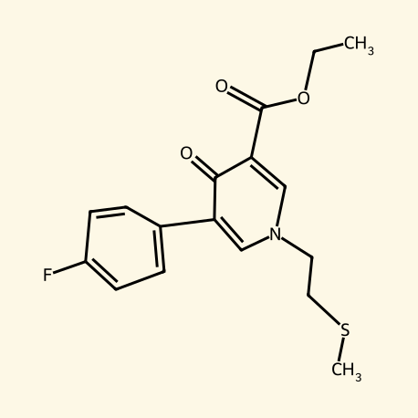 CCOC(=O)c1cn(CCSC)cc(-c2ccc(F)cc2)c1=O